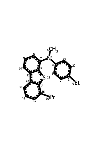 CCc1ccc(N(C)c2cccc3c2sc2c(C(C)C)cccc23)cc1